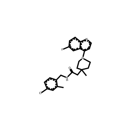 Cc1cc(Cl)ccc1CNC(=O)CC1(C)CCN(c2ccnc3ccc(F)cc23)CC1